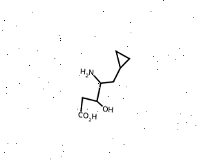 NC(CC1CC1)C(O)CC(=O)O